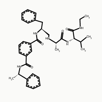 CCNC(=O)[C@@H](NC(=O)[C@H](C)NC[C@H](Cc1ccccc1)NC(=O)c1cccc(C(=O)N[C@@H](C)c2ccccc2)c1)C(C)C